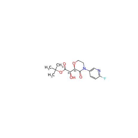 CC(C)(C)OC(=O)[C@H](O)[C@H]1OCCN(c2ccc(F)nc2)C1=O